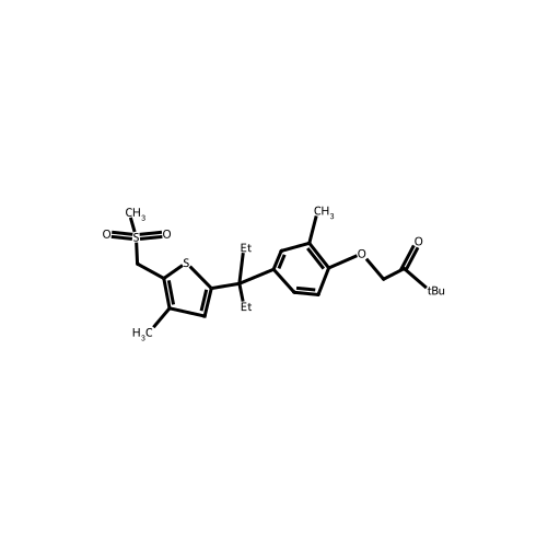 CCC(CC)(c1ccc(OCC(=O)C(C)(C)C)c(C)c1)c1cc(C)c(CS(C)(=O)=O)s1